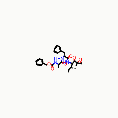 CC[C@@H](C)C(NC(=O)[C@H](Cc1ccccc1)NC(=O)C(C)NC(=O)OCc1ccccc1)C(=O)C1(C)CO1